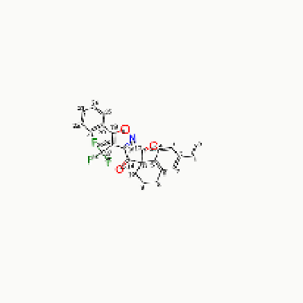 C=Cc1ccc2c(c1)CCCC2(C=O)C(=O)c1noc(-c2ccccc2)c1C(F)(F)F